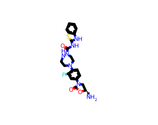 NC[C@H]1CN(c2ccc(N3CCNN(C(=O)NC4Nc5ccccc5S4)CC3)c(F)c2)C(=O)O1